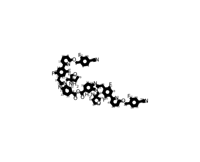 N#Cc1ccc(COc2cccc(-c3cc(F)c(Cc4nc5ccc(C(=O)OC(=O)c6ccc7nc(Cc8cc(F)c(-c9cccc(OCc%10ccc(C#N)cc%10F)n9)cc8F)n(CC8(N)CCOC8)c7c6)cc5n4CC4(N)CCOC4)cc3F)n2)c(F)c1